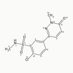 CNS(=O)(=O)c1cc(-c2ccc(=O)n(C)n2)ccc1Cl